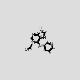 CC=O.Nc1ncnc2[nH]cnc12.c1ccncc1